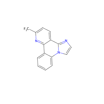 FC(F)(F)c1ccc2c(n1)c1ccccc1n1ccnc21